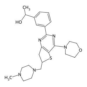 CC(O)c1cccc(-c2nc3c(c(N4CCOCC4)n2)SC(CN2CCN(C)CC2)C3)c1